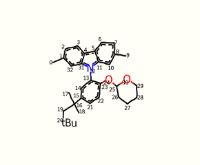 Cc1ccc2c3ccc(C)cc3n(-c3cc(C(C)(C)CC(C)(C)C)ccc3OC3CCCCO3)c2c1